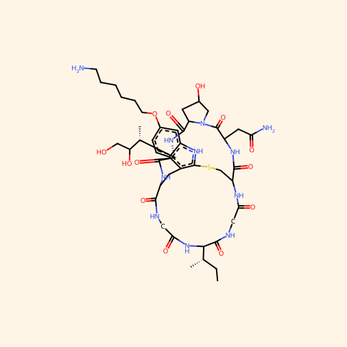 CC[C@H](C)C1NC(=O)CNC(=O)C2Cc3c([nH]c4cc(OCCCCCCN)ccc34)SCC(NC(=O)CNC1=O)C(=O)NC(CC(N)=O)C(=O)N1CC(O)CC1C(=O)N[C@@H]([C@@H](C)C(O)CO)C(=O)N2